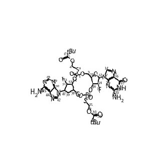 CC(C)(C)C(=O)OCSP1(=O)OCC2OC(n3cnc4c(=O)[nH]c(N)nc43)C(F)C2OP(=O)(SCOC(=O)C(C)(C)C)OCC2CC(n3cnc4c(N)ncnc43)C(F)C2O1